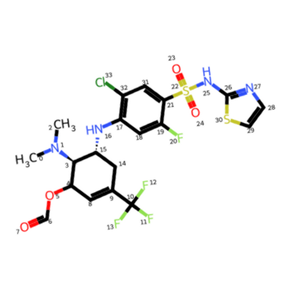 CN(C)[C@@H]1C(OC=O)C=C(C(F)(F)F)C[C@H]1Nc1cc(F)c(S(=O)(=O)Nc2nccs2)cc1Cl